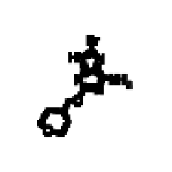 Nc1nc(OCC2CCOCC2)nc2[nH]c(Br)nc12